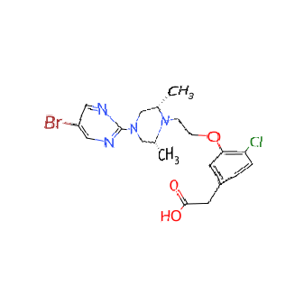 C[C@@H]1CN(c2ncc(Br)cn2)C[C@H](C)N1CCOc1cc(CC(=O)O)ccc1Cl